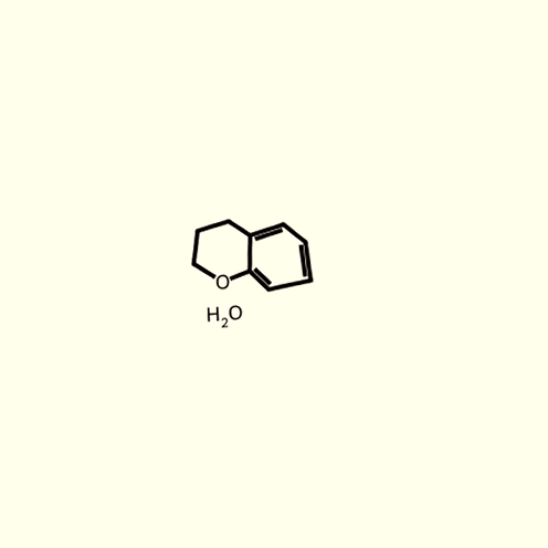 O.c1ccc2c(c1)CCCO2